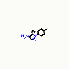 Cc1ccc(-n2ncc(N)c2C(C)C)cc1